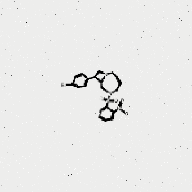 O=[N+]([O-])c1ccccc1S(=O)(=O)N1CC=CCN2CC(c3ccc(Br)cc3)C2C1